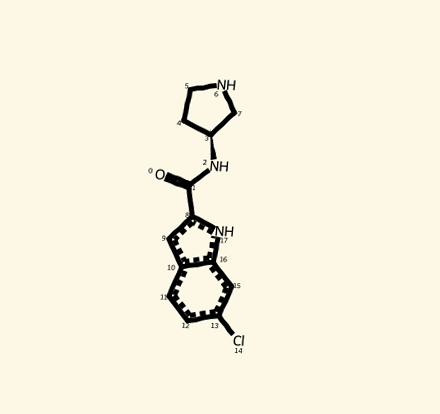 O=C(N[C@H]1CCNC1)c1cc2ccc(Cl)cc2[nH]1